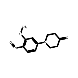 COc1cc(N2CCC(=O)CC2)ccc1N=O